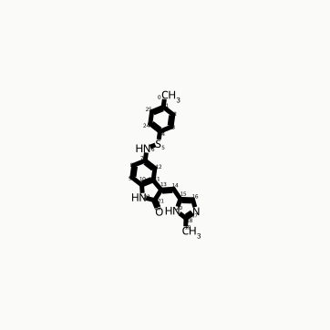 Cc1ccc(SNc2ccc3c(c2)/C(=C/c2cnc(C)[nH]2)C(=O)N3)cc1